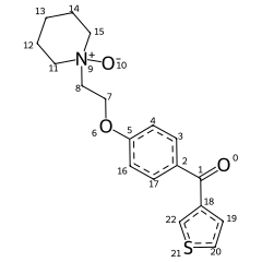 O=C(c1ccc(OCC[N+]2([O-])CCCCC2)cc1)c1ccsc1